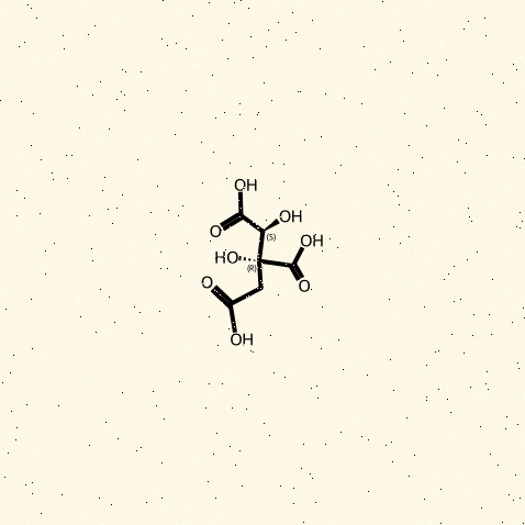 O=C(O)C[C@](O)(C(=O)O)[C@H](O)C(=O)O